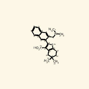 CN(C)Cc1cc2ccccc2cc1-c1sc2c(c1C(=O)O)CC(C)(C)CC2